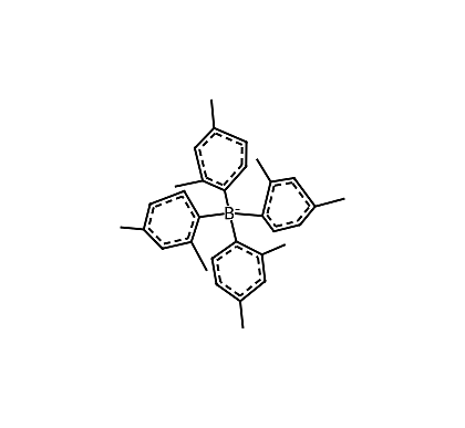 Cc1ccc([B-](c2ccc(C)cc2C)(c2ccc(C)cc2C)c2ccc(C)cc2C)c(C)c1